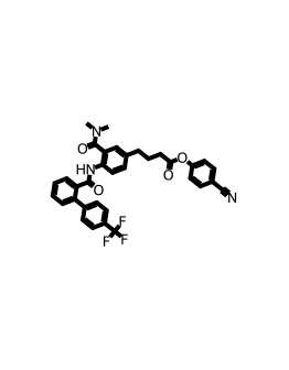 CN(C)C(=O)c1cc(CCCC(=O)Oc2ccc(C#N)cc2)ccc1NC(=O)c1ccccc1-c1ccc(C(F)(F)F)cc1